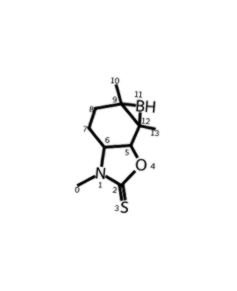 CN1C(=S)OC2C1CCC1(C)BC21C